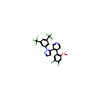 COc1cc(F)c(F)cc1-c1ccncc1-c1ccnn1-c1cc(C(F)(F)F)cc(C(F)(F)F)c1